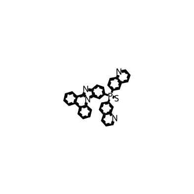 S=P(c1ccc2ncccc2c1)(c1ccc2cccnc2c1)c1ccc2nc3c4ccccc4c4ccccc4n3c2c1